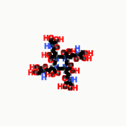 O=C(CCC(C(=O)O)N1CCN(C(CCC(=O)NC(CO)CO)C(=O)O)CCN(C(CCC(=O)NC(CO)CO)C(=O)O)CCN(C(CCC(=O)NC(CO)CO)C(=O)O)CC1)NC(CO)CO